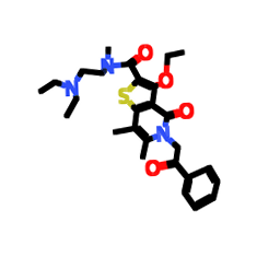 CCOc1c(C(=O)N(C)CCN(CC)CC)sc2c(C)c(C)n(CC(=O)c3ccccc3)c(=O)c12